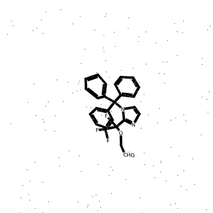 O=CCOC(F)(c1nccn1C(c1ccccc1)(c1ccccc1)c1ccccc1)C(F)F